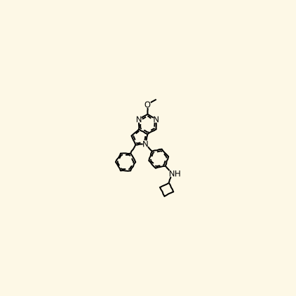 COc1ncc2c(cc(-c3ccccc3)n2-c2ccc(NC3CCC3)cc2)n1